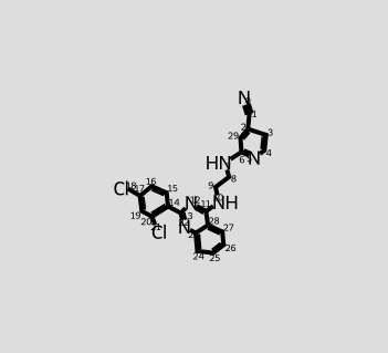 N#Cc1ccnc(NCCNc2nc(-c3ccc(Cl)cc3Cl)nc3ccccc23)c1